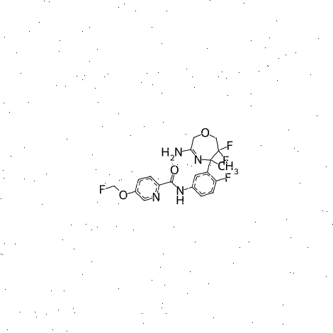 CC1(c2cc(NC(=O)c3ccc(OCF)cn3)ccc2F)N=C(N)COCC1(F)F